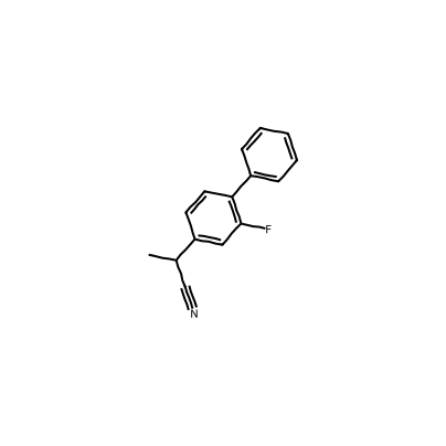 CC(C#N)c1ccc(-c2ccccc2)c(F)c1